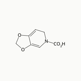 O=C(O)N1C=C2OCOC2=CC1